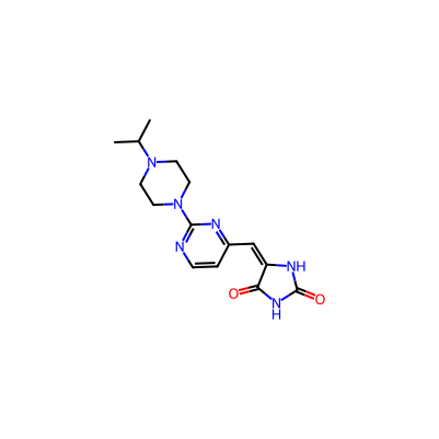 CC(C)N1CCN(c2nccc(/C=C3/NC(=O)NC3=O)n2)CC1